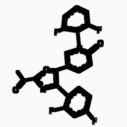 CC(=O)c1nc(-c2ccc(F)cc2F)c(-c2ccc(=O)n(-c3c(F)cccc3F)c2)o1